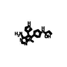 C=CC(O)Nc1ccc(-c2c(-c3cc[nH]c3)c3c(N)ncnc3n2C)cc1